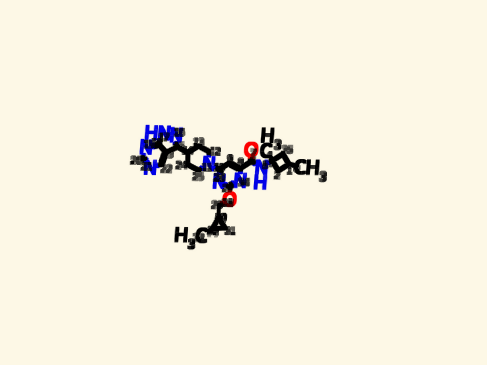 CC1CC(C)(NC(=O)c2cc(N3CCC(c4n[nH]c5ncncc45)CC3)nc(OC[C@H]3C[C@H]3C)n2)C1